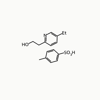 CCc1ccc(CCO)nc1.Cc1ccc(S(=O)(=O)O)cc1